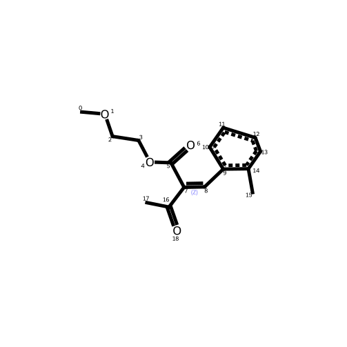 COCCOC(=O)/C(=C\c1ccccc1C)C(C)=O